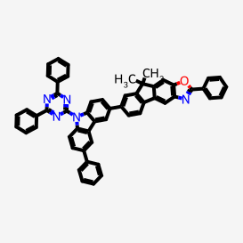 CC1(C)c2cc(-c3ccc4c(c3)c3cc(-c5ccccc5)ccc3n4-c3nc(-c4ccccc4)nc(-c4ccccc4)n3)ccc2-c2cc3nc(-c4ccccc4)oc3cc21